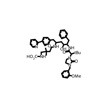 COc1ccccc1CN1CCN(C(C(=O)NC(Cc2ccccc2)C(O)CC(Cc2ccc(-c3ccccn3)cc2)NC(=O)CC(C)(C)CNC(=O)O)C(C)(C)C)C1=O